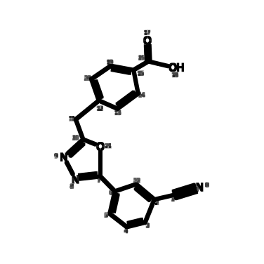 N#Cc1cccc(-c2nnc(Cc3ccc(C(=O)O)cc3)o2)c1